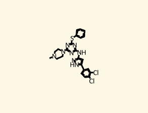 CN1CCN(c2nc(Nc3cc(-c4ccc(Cl)c(Cl)c4)[nH]n3)nc(Sc3ccccc3)n2)CC1